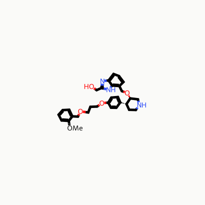 COc1ccccc1COCCCOc1ccc([C@H]2CCNC[C@@H]2OCc2cccc3nc(CO)[nH]c23)cc1